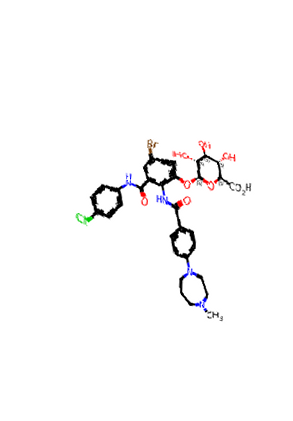 CN1CCCN(c2ccc(C(=O)Nc3c(O[C@@H]4O[C@H](C(=O)O)[C@@H](O)[C@H](O)[C@H]4O)cc(Br)cc3C(=O)Nc3ccc(Cl)cc3)cc2)CC1